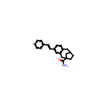 NC(=O)C12[CH]C(CC1)Cc1ccc(C=Cc3ccccc3)cc1C2